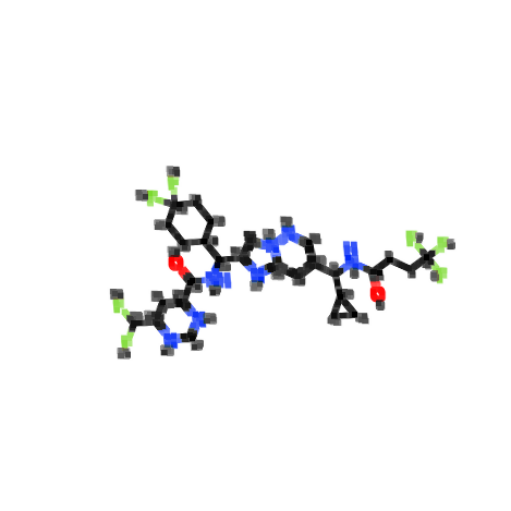 O=C(CCC(F)(F)F)NC(c1cnn2cc([C@@H](NC(=O)c3cc(C(F)F)ncn3)C3CCC(F)(F)CC3)nc2c1)C1CC1